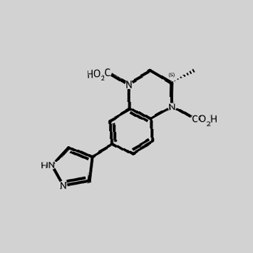 C[C@H]1CN(C(=O)O)c2cc(-c3cn[nH]c3)ccc2N1C(=O)O